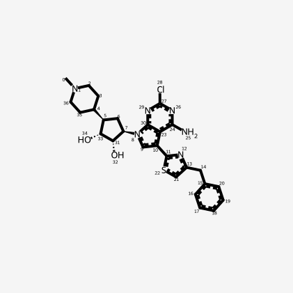 CN1CCC([C@H]2C[C@@H](n3cc(-c4nc(Cc5ccccc5)cs4)c4c(N)nc(Cl)nc43)[C@H](O)[C@@H]2O)CC1